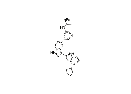 C=C(CCCC)Nc1cncc(-c2ccc3[nH]nc(-c4cc5c(C6=CCC=C6)cncc5[nH]4)c3c2)c1